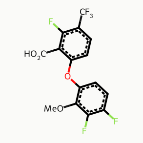 COc1c(Oc2ccc(C(F)(F)F)c(F)c2C(=O)O)ccc(F)c1F